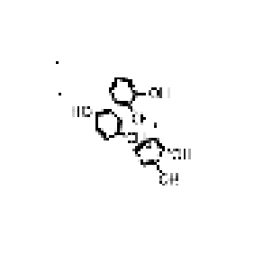 Cc1ccc(O)cc1.Cc1ccccc1O.Oc1ccccc1O